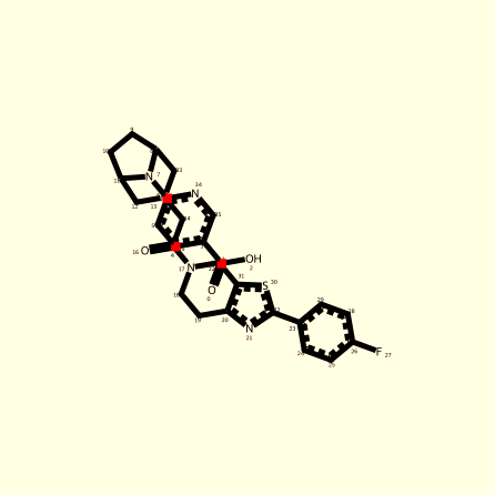 O=C(O)c1ccc(N2C3CCC2CN(CC(=O)N2CCc4nc(-c5ccc(F)cc5)sc4C2)C3)nc1